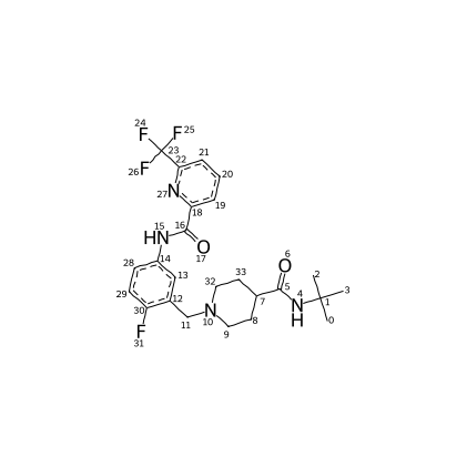 CC(C)(C)NC(=O)C1CCN(Cc2cc(NC(=O)c3cccc(C(F)(F)F)n3)ccc2F)CC1